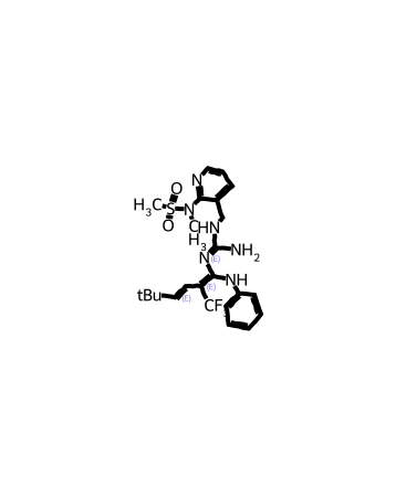 CN(c1ncccc1CN/C(N)=N/C(Nc1ccccc1)=C(\C=C\C(C)(C)C)C(F)(F)F)S(C)(=O)=O